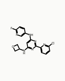 Fc1ccc(Nc2cc(NC3COC3)nc(-c3cccc(Cl)n3)n2)cn1